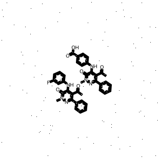 CC(=O)c1c(-c2ccccc2)nn(C)c(=O)c1Nc1ccc(C(=O)O)cc1.CC(=O)c1c(-c2ccccc2)nn(C)c(=O)c1Nc1cccc(F)c1